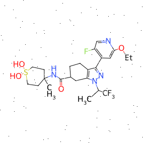 CCOc1cc(-c2nn(C(C)C(F)(F)F)c3c2CCC(C(=O)NC2(C)CCS(O)(O)CC2)C3)c(F)cn1